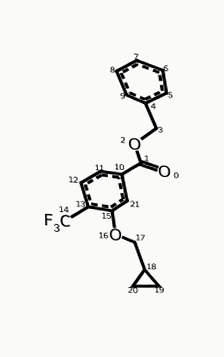 O=C(OCc1ccccc1)c1ccc(C(F)(F)F)c(OCC2CC2)c1